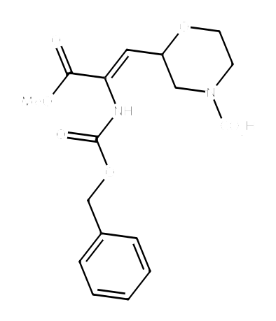 COC(=O)/C(=C/C1CN(C(=O)O)CCO1)NC(=O)OCc1ccccc1